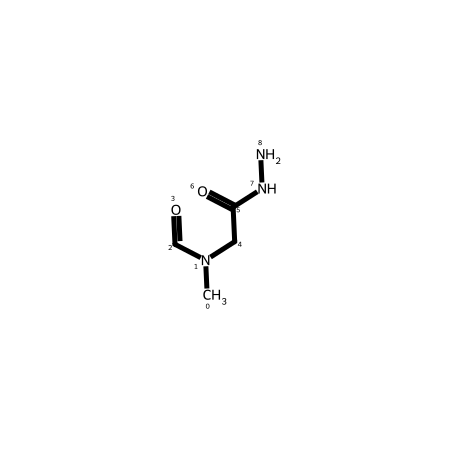 CN(C=O)CC(=O)NN